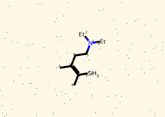 CCN(CC)CCC(C)=C(C)[SiH3]